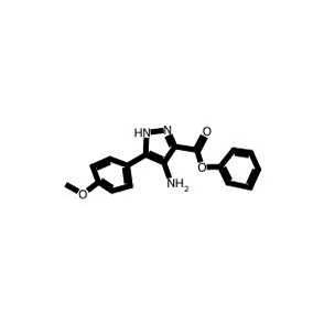 COc1ccc(-c2[nH]nc(C(=O)Oc3ccccc3)c2N)cc1